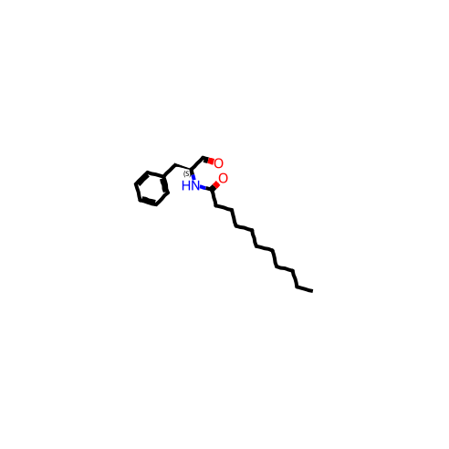 CCCCCCCCCCC(=O)N[C@H](C=O)Cc1ccccc1